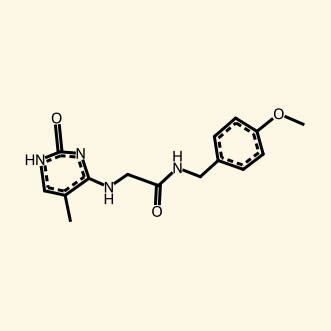 COc1ccc(CNC(=O)CNc2nc(=O)[nH]cc2C)cc1